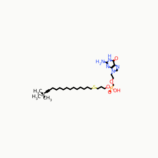 C[Si](C)(C)C#CCCCCCCCCCCCCSCCCOP(=O)(O)COCCn1cnc2c(=O)[nH]c(N)nc21